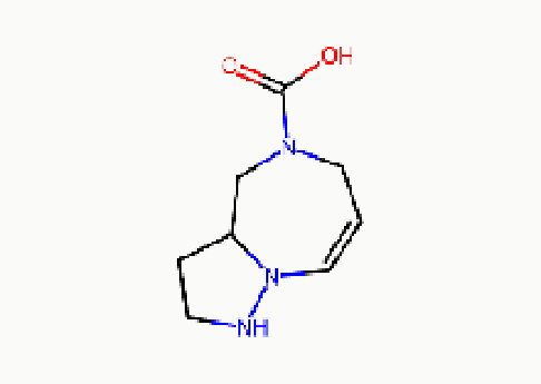 O=C(O)N1CC=CN2NCCC2C1